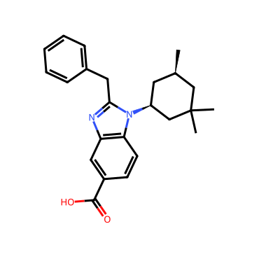 C[C@@H]1C[C@H](n2c(Cc3ccccc3)nc3cc(C(=O)O)ccc32)CC(C)(C)C1